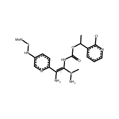 CNSNc1ccc(/C(N)=C(\NC(=O)OC(C)c2cccnc2Cl)N(C)N)nc1